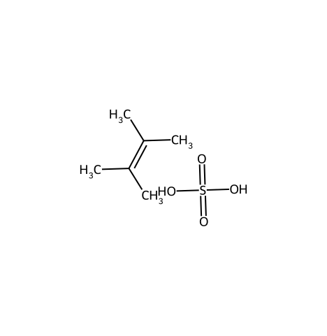 CC(C)=C(C)C.O=S(=O)(O)O